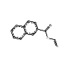 O=COC(=O)c1ccc2ccccc2c1